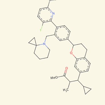 COC(=O)C(C)C(c1ccc2c(c1)OC(c1ccc(-c3nc(OC)ccc3F)c(CN3CCCCC34CC4)c1)CC2)C1CC1